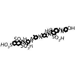 Cc1cc(N=Nc2cc(C)c(N=Nc3c(S(=O)(=O)O)cc4cc(N=Nc5ccc(O)cc5)ccc4c3O)cc2C)ccc1N=Nc1ccc(N=Nc2cc3c(S(=O)(=O)O)cc(S(=O)(=O)O)cc3cc2S(=O)(=O)O)c(C)c1